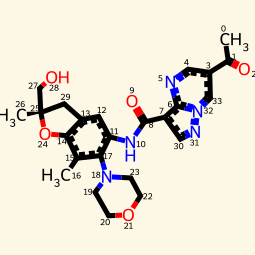 CC(=O)c1cnc2c(C(=O)Nc3cc4c(c(C)c3N3CCOCC3)O[C@](C)(CO)C4)cnn2c1